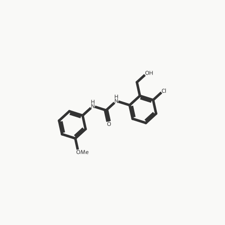 COc1cccc(NC(=O)Nc2cccc(Cl)c2CO)c1